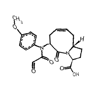 COc1ccc(N(C(=O)C=O)[C@H]2C/C=C\C[C@@H]3CC[C@@H](C(=O)O)N3C2=O)cc1